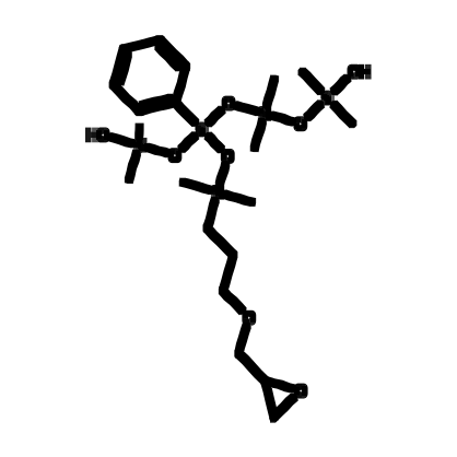 C[Si](C)(O)O[Si](C)(C)O[Si](O[Si](C)(C)O)(O[Si](C)(C)CCCOCC1CO1)c1ccccc1